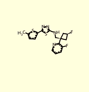 Cc1ccc(-c2nnc(NC[C@]3(c4ncccc4F)C[C@H](F)C3)s2)s1